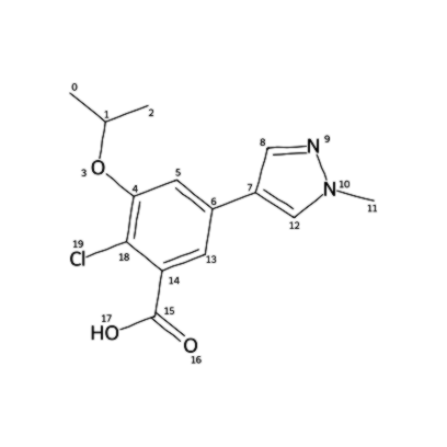 CC(C)Oc1cc(-c2cnn(C)c2)cc(C(=O)O)c1Cl